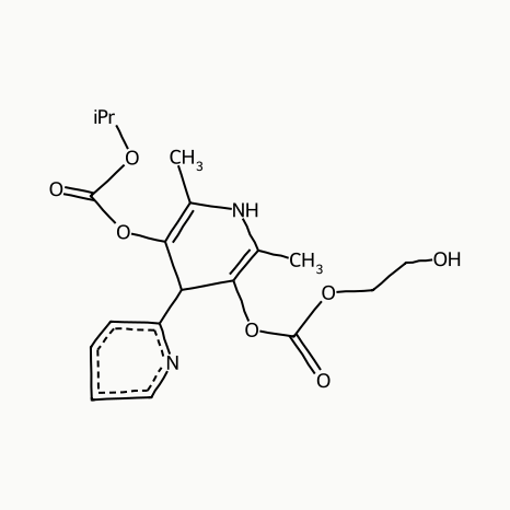 CC1=C(OC(=O)OCCO)C(c2ccccn2)C(OC(=O)OC(C)C)=C(C)N1